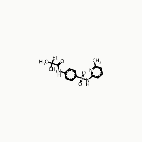 CCC(C)(C)C(=O)Nc1ccc(S(=O)(=O)Nc2cccc(C)n2)cc1